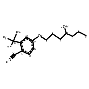 CCCC(O)CCCOc1ccc(C#N)c(C(F)(F)F)c1